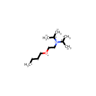 CCCCOCCN(C(C)C)C(C)C